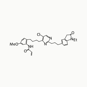 C=CC(=O)Nc1cc(OC)ccc1CCCCc1nc(CCCc2ccc3c(c2)CC(=O)N3CC)ncc1Cl